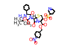 CC(C)(C)OC(=O)N(C(=O)C(N)c1ccccc1)C1C(=O)N2C(C(=O)OCc3ccc([N+](=O)[O-])cc3)=C(OS(=O)(=O)c3cccnc3)CS[C@@H]12